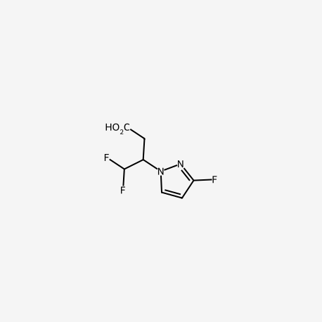 O=C(O)CC(C(F)F)n1ccc(F)n1